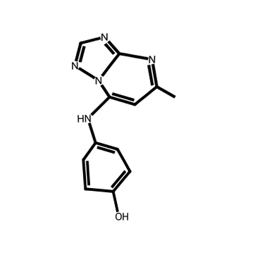 Cc1cc(Nc2ccc(O)cc2)n2ncnc2n1